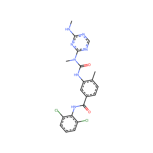 CNc1ncnc(N(C)C(=O)Nc2cc(C(=O)Nc3c(Cl)cccc3Cl)ccc2C)n1